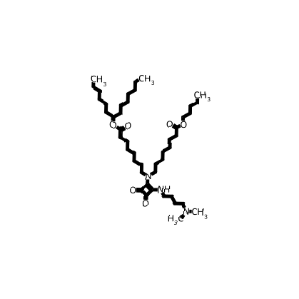 CCCCCCCC(CCCCCC)OC(=O)CCCCCCCN(CCCCCCCC(=O)OCCCCC)c1c(NCCCCN(C)C)c(=O)c1=O